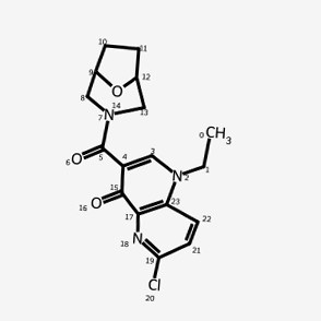 CCn1cc(C(=O)N2CC3CCC(C2)O3)c(=O)c2nc(Cl)ccc21